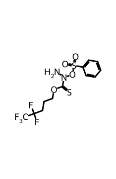 NN(OS(=O)(=O)c1ccccc1)C(=S)OCCCC(F)(F)C(F)(F)F